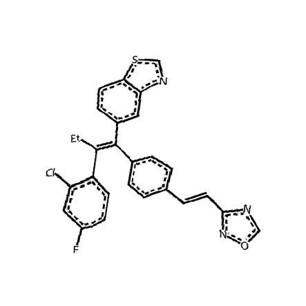 CC/C(=C(/c1ccc(/C=C/c2ncon2)cc1)c1ccc2scnc2c1)c1ccc(F)cc1Cl